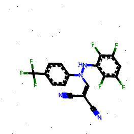 N#CC(C#N)=CN(Nc1c(F)c(F)cc(F)c1F)c1ccc(C(F)(F)F)cc1